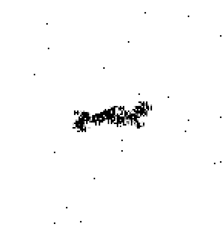 CC(=O)OC[C@H]1O[C@@H](OC[C@H]2O[C@@H](OC(=O)[C@]34CC[C@@](C)(CO)C[C@H]3C3=CC[C@@H]5[C@@]6(C)CC[C@H](O[C@@H]7OC[C@H](O)[C@H](O)[C@H]7O[C@@H]7O[C@@H](C)[C@H](O)[C@@H](O)[C@H]7O)C(C)(C)[C@@H]6CC[C@@]5(C)[C@]3(C)CC4)[C@H](O)[C@@H](O)[C@@H]2O)[C@H](O)[C@@H](O)[C@@H]1O[C@@H]1O[C@@H](C)[C@H](O)[C@@H](O)[C@H]1O